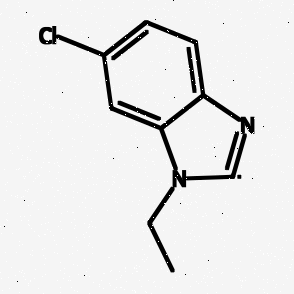 CCn1[c]nc2ccc(Cl)cc21